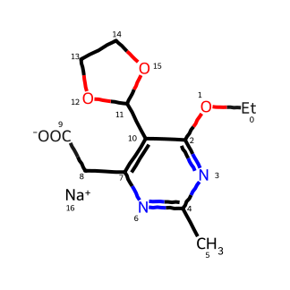 CCOc1nc(C)nc(CC(=O)[O-])c1C1OCCO1.[Na+]